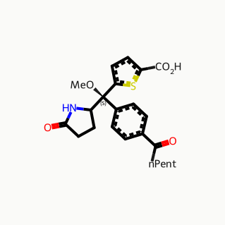 CCCCCC(=O)c1ccc([C@@](OC)(c2ccc(C(=O)O)s2)C2CCC(=O)N2)cc1